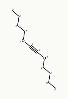 CCCCOC#COCCCC